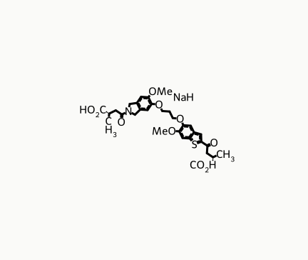 COc1cc2c(cc1OCCCOc1cc3cc(C(=O)C[C@H](C)C(=O)O)sc3cc1OC)CN(C(=O)C[C@H](C)C(=O)O)C2.[NaH]